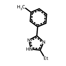 [CH2]Cc1nc(-c2cccc(C)c2)n[nH]1